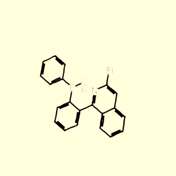 CB(c1ccccc1)c1ccccc1-c1nc(Br)cc2ccccc12